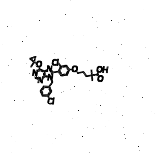 CC1(Oc2ncnc3c2nc(-c2ccc(OCCCC(C)(C)C(=O)O)cc2Cl)n3Cc2cccc(Cl)c2)CC1